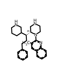 Cc1cc2ccccc2nc1N1CCNC[C@H]1C(CCc1ccccc1)C1CCCNC1